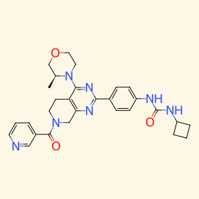 C[C@H]1COCCN1c1nc(-c2ccc(NC(=O)NC3CCC3)cc2)nc2c1CCN(C(=O)c1cccnc1)C2